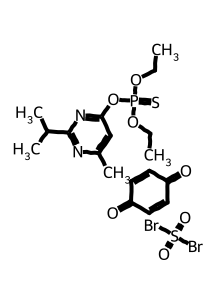 CCOP(=S)(OCC)Oc1cc(C)nc(C(C)C)n1.O=C1C=CC(=O)C=C1.O=S(=O)(Br)Br